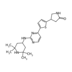 CC1(C)CC(Nc2nccc(-c3ccc(C4CNC(=O)C4)s3)n2)CC(C)(C)N1